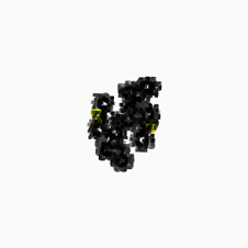 c1ccc(-c2cc3c(-c4c5c(cc6c4ccc4c7cc8c(c(-c9cccc%10sc(-c%11ccccc%11)cc9%10)c7ccc64)-c4cc6ccccc6c6cccc-8c46)-c4cc6ccccc6c6cccc-5c46)cccc3s2)cc1